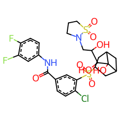 O=C(Nc1ccc(F)c(F)c1)c1ccc(Cl)c(S(=O)(=O)C2CC3CC(C2)C3(O)C(O)C(O)CN2CCCS2(=O)=O)c1